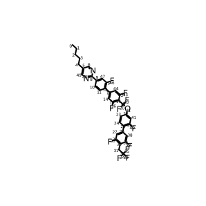 CCCCCc1cnc(-c2ccc(-c3cc(F)c(C(F)(F)Oc4ccc(-c5cc(F)c(CC(F)(F)F)c(F)c5)c(F)c4)c(F)c3)c(F)c2)nc1